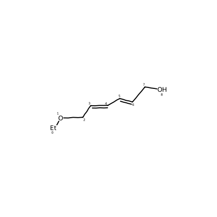 CCOC/C=C/C=C/CO